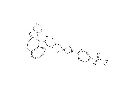 O=S(=O)(c1ccc(N2CC(F)(CN3CCC(C4(C5CCCC5)NCCc5ccccc54)CC3)C2)cc1)C1CC1